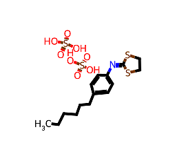 CCCCCCc1ccc(N=C2SCCS2)cc1.O=S(=O)(O)O.O=S(=O)(O)O